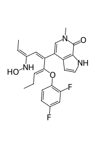 C\C=C(/C=C(\C(=C\CC)Oc1ccc(F)cc1F)c1cn(C)c(=O)c2[nH]ccc12)NO